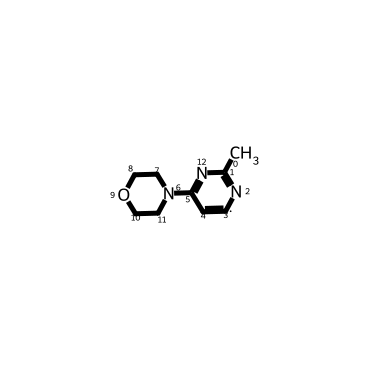 Cc1n[c]cc(N2CCOCC2)n1